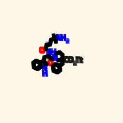 CCOC(=O)[C@]1(Cc2ccccc2)CCCN(C(=O)[C@@H](Cc2c[nH]c3ccccc23)NC(=O)/C=C/CC(C)(C)N)C1